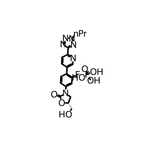 CCCn1nnc(-c2ccc(-c3ccc(N4C[C@H](CO)OC4=O)cc3F)cn2)n1.O=P(O)(O)O